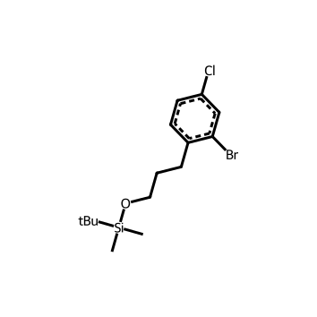 CC(C)(C)[Si](C)(C)OCCCc1ccc(Cl)cc1Br